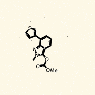 COC(=O)Oc1c2cccc(-c3ccsc3)c2nn1C